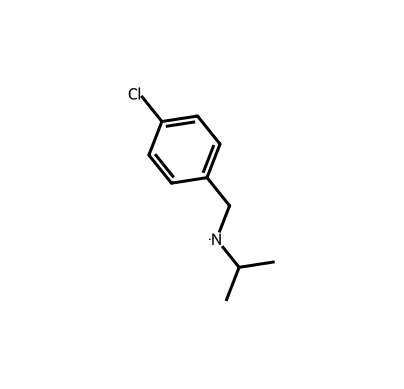 CC(C)[N]Cc1ccc(Cl)cc1